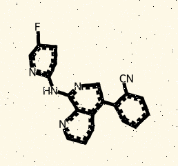 N#Cc1ccccc1-c1cnc(Nc2ccc(F)cn2)c2ncccc12